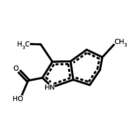 CCc1c(C(=O)O)[nH]c2ccc(C)cc12